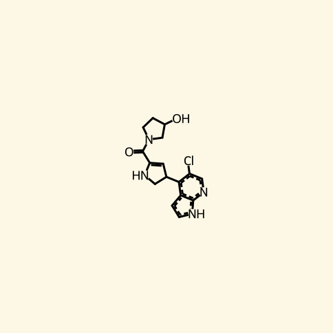 O=C(C1=CC(c2c(Cl)cnc3[nH]ccc23)CN1)N1CCC(O)C1